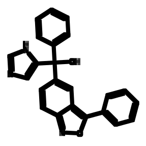 OC(c1ccccc1)(c1ccc2noc(-c3ccccc3)c2c1)c1cnc[nH]1